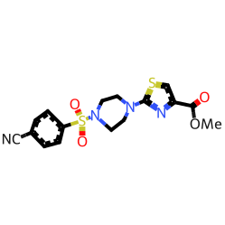 COC(=O)c1csc(N2CCN(S(=O)(=O)c3ccc(C#N)cc3)CC2)n1